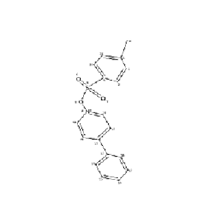 Cc1ccc(S(=O)(=O)O[n+]2ccc(-c3ccccc3)cc2)cc1